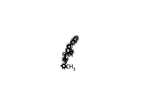 Cc1ccccc1Cn1ccc(C(=O)NC2CCc3ccc(N4CCC5(CCOCC5)CC4)cc3-n3ccnc32)n1